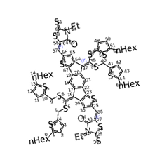 CCCCCCc1ccc(CSC(SCc2ccc(CCCCCC)s2)=C2c3cc4c(cc3-c3sc(/C=C5/SC(=S)N(CC)C5=O)cc32)/C(=C(\SCc2ccc(CCCCCC)s2)Sc2ccc(CCCCCC)s2)c2cc(/C=C3/SC(=S)N(CC)C3=O)sc2-4)s1